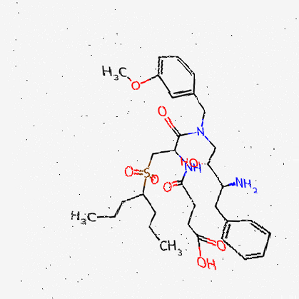 CCCC(CCC)S(=O)(=O)CC(NC(=O)CCC(=O)O)C(=O)N(Cc1cccc(OC)c1)C[C@@H](O)[C@@H](N)Cc1ccccc1